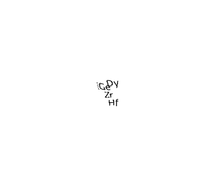 [Dy].[Ge].[Hf].[Zr]